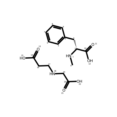 CN[C@H](Cc1ccccc1)C(=O)O.O=C(O)CCNCC(=O)O